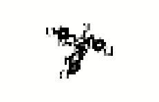 N#CC[C@H](Cc1ccc(Cl)cc1)OP(=O)(O[C@H](CC#N)Cc1ccc(Cl)cc1)S[C@H](CC#N)Cc1ccc(Cl)cc1